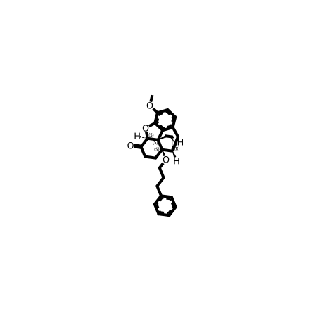 COc1ccc2c3c1O[C@@H]1C(=O)CC[C@@]4(OCCCc5ccccc5)[C@@H](C2)NCC[C@]314